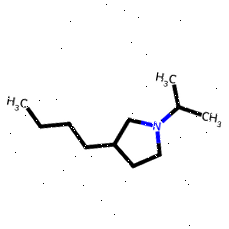 CCCCC1CCN(C(C)C)C1